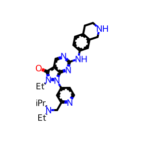 CCN(Cc1cc(-n2c3nc(Nc4ccc5c(c4)CNCC5)ncc3c(=O)n2CC)ccn1)C(C)C